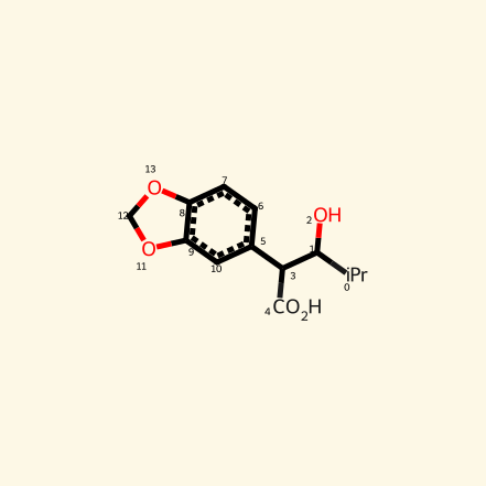 CC(C)C(O)C(C(=O)O)c1ccc2c(c1)OCO2